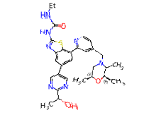 CCNC(=O)Nc1nc2cc(-c3cnc(C(C)O)nc3)cc(-c3cc(CN4C[C@H](C)O[C@H](C)C4C)ccn3)c2s1